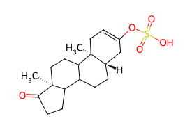 C[C@]12CCC3C(CC[C@H]4CC(OS(=O)(=O)O)=CC[C@]34C)C1CCC2=O